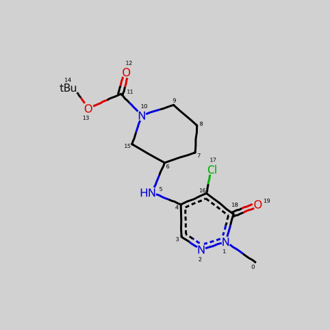 Cn1ncc(NC2CCCN(C(=O)OC(C)(C)C)C2)c(Cl)c1=O